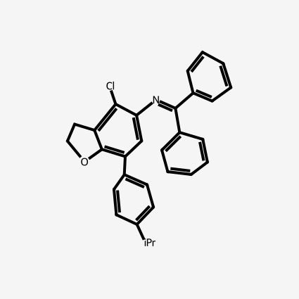 CC(C)c1ccc(-c2cc(N=C(c3ccccc3)c3ccccc3)c(Cl)c3c2OCC3)cc1